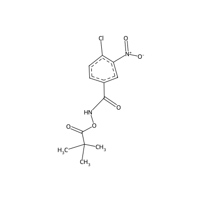 CC(C)(C)C(=O)ONC(=O)c1ccc(Cl)c([N+](=O)[O-])c1